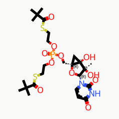 CC(C)(C)C(=O)SCCOP(=O)(OCCSC(=O)C(C)(C)C)OC[C@]12C[C@]1(O)[C@@](C)(O)[C@H](n1ccc(=O)[nH]c1=O)O2